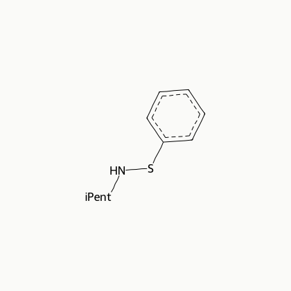 CCCC(C)NSc1ccccc1